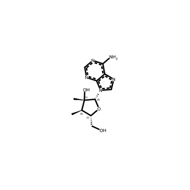 C[C@@H]1[C@@H](CO)O[C@@H](n2cnc3c(N)ncnc32)[C@@]1(C)O